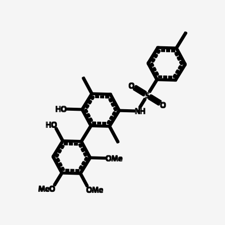 COc1cc(O)c(-c2c(C)c(NS(=O)(=O)c3ccc(C)cc3)cc(C)c2O)c(OC)c1OC